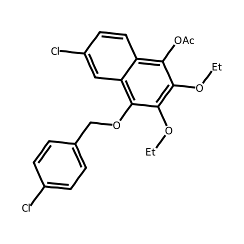 CCOc1c(OCC)c(OC(C)=O)c2ccc(Cl)cc2c1OCc1ccc(Cl)cc1